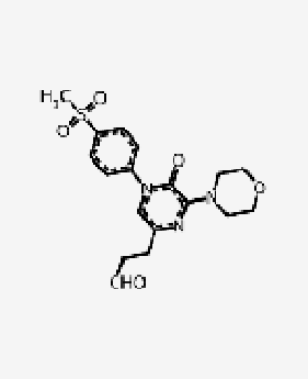 CS(=O)(=O)c1ccc(-n2cc(CCC=O)nc(N3CCOCC3)c2=O)cc1